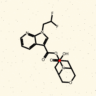 O=C(OC1CC2COCC(C1)N2C(=O)O)c1cn(CC(F)F)c2ncccc12